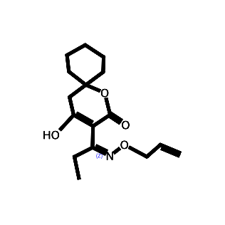 C=CCO/N=C(/CC)C1=C(O)CC2(CCCCC2)OC1=O